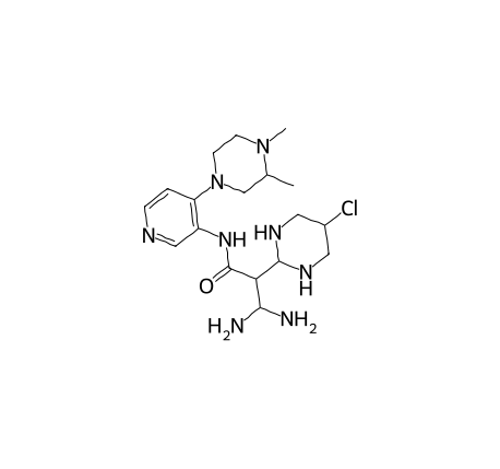 CC1CN(c2ccncc2NC(=O)C(C(N)N)C2NCC(Cl)CN2)CCN1C